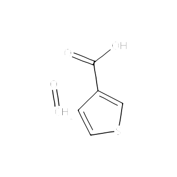 C=O.O=C(O)c1ccsc1